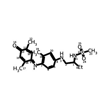 CCC(CNc1ccc(N=C2C=C(C)C(=O)C=C2C)c(C)c1)NS(C)(=O)=O